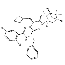 CC1(C)[C@@H]2C[C@H]3OB([C@H](CC4CCC4)NC(=O)[C@H](Cc4ccccc4)NC(=O)c4cc(Cl)ccc4Cl)O[C@@]3(C)[C@H]1C2